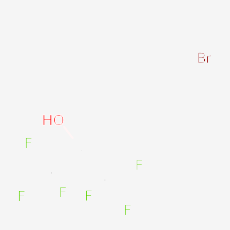 OC(c1ccc(Br)c2ccccc12)(C(F)(F)F)C(F)(F)F